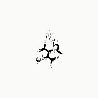 CCCO.O.O.O.O.O=C([O-])C(O)C(O)C(=O)[O-].[K+].[Na+]